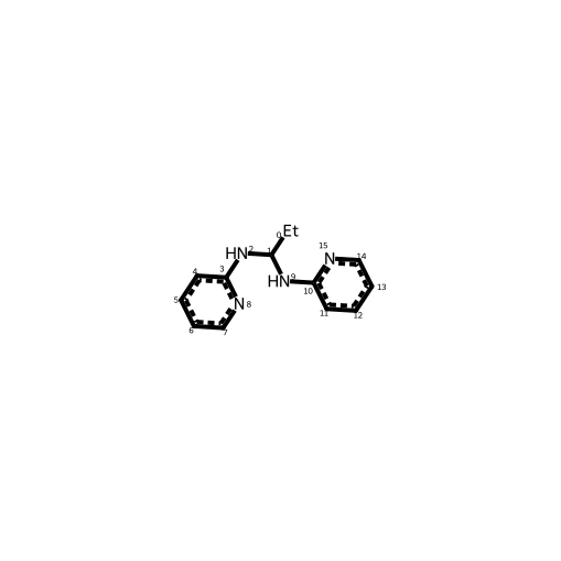 CCC(Nc1ccccn1)Nc1ccccn1